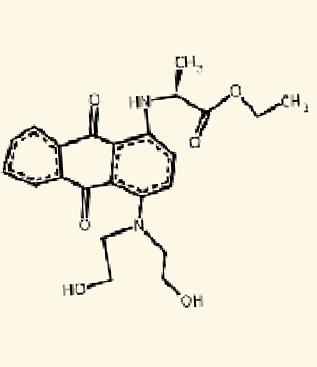 CCOC(=O)[C@H](C)Nc1ccc(N(CCO)CCO)c2c1C(=O)c1ccccc1C2=O